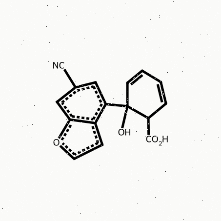 N#Cc1cc(C2(O)C=CC=CC2C(=O)O)c2ccoc2c1